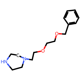 c1ccc(COCCOCCN2CCNCC2)cc1